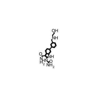 NC(=O)Nc1[nH]c2cc(-c3cccc(CNCCO)c3)ccc2c1C(N)=O